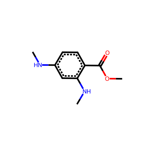 CNc1ccc(C(=O)OC)c(NC)c1